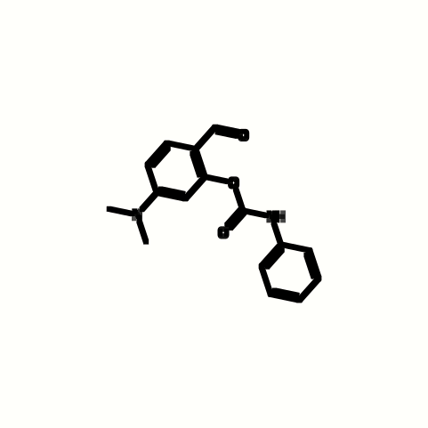 CN(C)c1ccc(C=O)c(OC(=O)Nc2ccccc2)c1